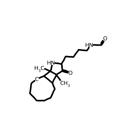 CC12NC(CCCCNC=O)C(=O)C1(C)C1CCCCCCCC12